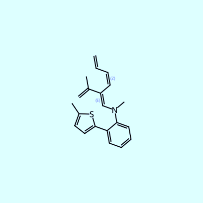 C=C/C=C\C(=C/N(C)c1ccccc1-c1ccc(C)s1)C(=C)C